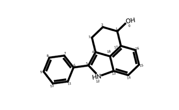 OC1CCc2c(-c3ccccc3)[nH]c3cccc1c23